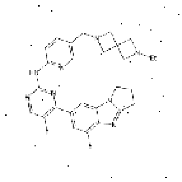 CCN1CC2(C1)CN(Cc1ccc(Nc3ncc(F)c(-c4cc(F)c5nc6n(c5c4)CCC6)n3)nc1)C2